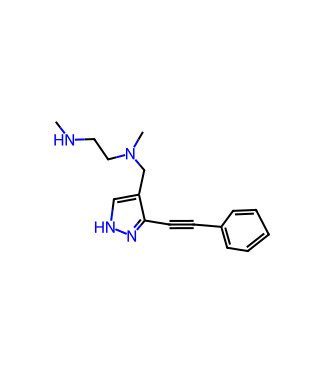 CNCCN(C)Cc1c[nH]nc1C#Cc1ccccc1